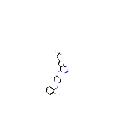 Cc1ccccc1CN1CCC(Nc2ncnc3sc(CC(C)(F)F)cc23)CC1